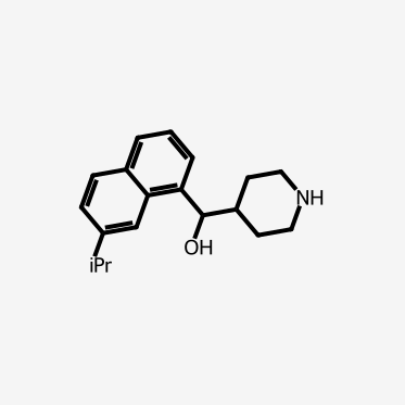 CC(C)c1ccc2cccc(C(O)C3CCNCC3)c2c1